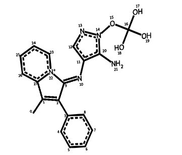 CC1=C(c2ccccc2)C(=Nc2cnn(OC(O)(O)O)c2N)[n+]2ccccc21